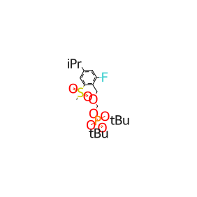 CC(C)c1cc(F)c(COCOP(=O)(OC(C)(C)C)OC(C)(C)C)c(S(C)(=O)=O)c1